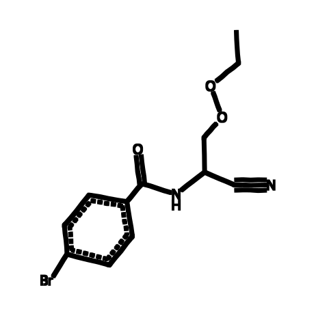 CCOOCC(C#N)NC(=O)c1ccc(Br)cc1